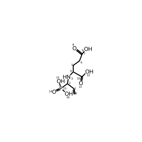 C=CC(NC(CCC(=O)O)C(=O)O)P(=O)(O)O